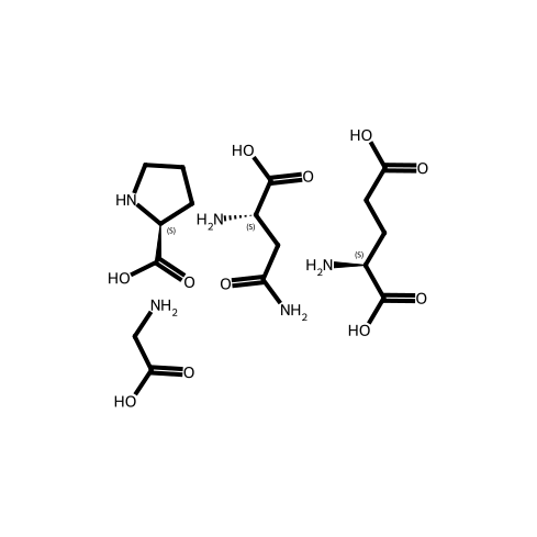 NC(=O)C[C@H](N)C(=O)O.NCC(=O)O.N[C@@H](CCC(=O)O)C(=O)O.O=C(O)[C@@H]1CCCN1